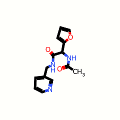 CC(=O)NC(C(=O)NCc1cccnc1)c1ccco1